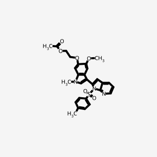 COc1cc2c(-c3cc4cccnc4n3S(=O)(=O)c3ccc(C)cc3)cn(C)c2cc1OCCOC(C)=O